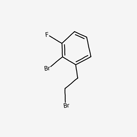 Fc1cccc(CCBr)c1Br